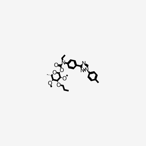 CCCO[C@@H]1[C@@H](OC)[C@H](C)O[C@@H](OC(=O)N(CC)c2ccc(-c3ncn(-c4ccc(C)cc4)n3)cc2)[C@@H]1OC